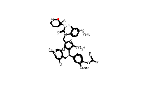 COc1cc([C@H](Cc2c(Cl)c[n+]([O-])cc2Cl)c2cc(CN(C(=O)O[C@H]3CN4CCC3CC4)c3ccccc3F)sc2C(=O)O)ccc1OC(F)F.O=CO